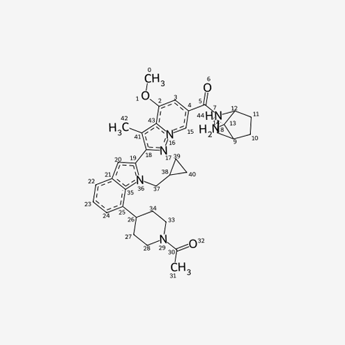 COc1cc(C(=O)N2CC3CCC2[C@@H]3N)cn2nc(-c3cc4cccc(C5CCN(C(C)=O)CC5)c4n3CC3CC3)c(C)c12